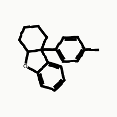 Cc1ccc(C23CCCCC2Oc2ccccc23)cc1